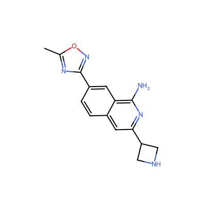 Cc1nc(-c2ccc3cc(C4CNC4)nc(N)c3c2)no1